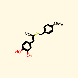 COc1ccc(CSC(C#N)=Cc2ccc(O)c(O)c2)cc1